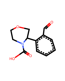 O=Cc1ccccc1C1COCCN1C(=O)O